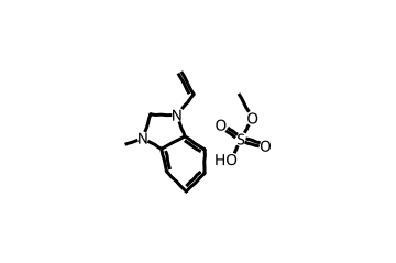 C=CN1CN(C)c2ccccc21.COS(=O)(=O)O